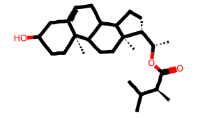 CC(C)[C@H](C)C(=O)O[C@@H](C)[C@H]1CCC2C3CC=C4CC(O)CC[C@]4(C)C3CC[C@@]21C